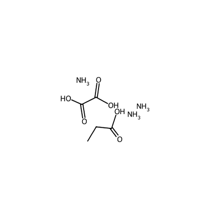 CCC(=O)O.N.N.N.O=C(O)C(=O)O